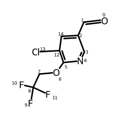 O=Cc1cnc(OCC(F)(F)F)c(Cl)c1